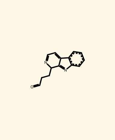 O=CCCC1N=CC=C2C1=Nc1ccccc12